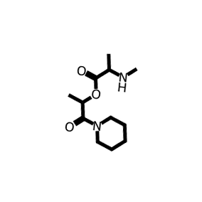 CNC(C)C(=O)OC(C)C(=O)N1CCCCC1